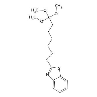 CO[Si](CCCCSSc1nc2ccccc2s1)(OC)OC